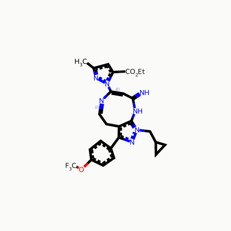 CCOC(=O)c1cc(C)nn1C1=C/C(=N)Nc2c(c(-c3ccc(OC(F)(F)F)cc3)nn2CC2CC2)C/C=N\1